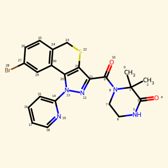 CC1(C)C(=O)NCCN1C(=O)c1nn(-c2ccccn2)c2c1SCc1ccc(Br)cc1-2